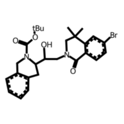 CC(C)(C)OC(=O)N1Cc2ccccc2CC1C(O)CN1CC(C)(C)c2cc(Br)ccc2C1=O